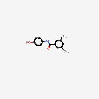 Cc1cc(C)cc(C(=O)Nc2ccc(O)cc2)c1